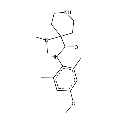 COc1cc(C)c(NC(=O)C2(N(C)C)CCNCC2)c(C)c1